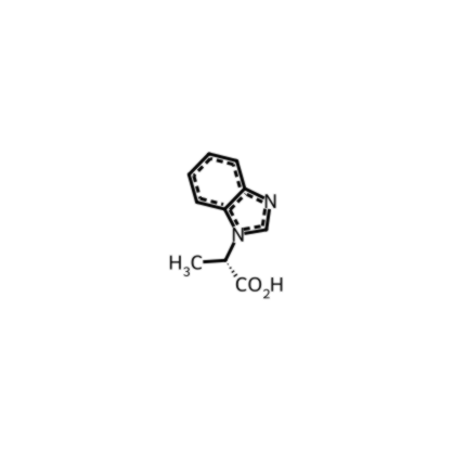 C[C@@H](C(=O)O)n1cnc2ccccc21